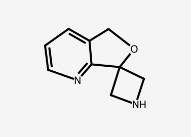 c1cnc2c(c1)COC21CNC1